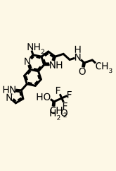 C=C(O)C(F)(F)F.CCC(=O)NCCc1cc2c(N)nc3cc(-c4ccn[nH]4)ccc3c2[nH]1.O